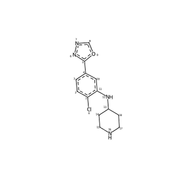 Clc1ccc(-c2nnco2)cc1NC1CCNCC1